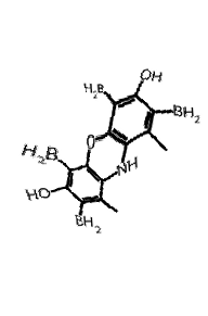 Bc1c(C)c2c(c(B)c1O)Oc1c(B)c(O)c(B)c(C)c1N2